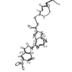 CCC1CCC(CCC(=O)c2nc3c(N4CCc5cc([N+](=O)[O-])ccc54)ncnc3s2)CC1